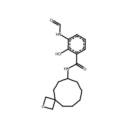 O=CNc1cccc(C(=O)NC2CCCCCC3(CC2)COC3)c1O